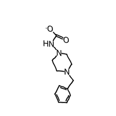 [O]C(=O)NN1CCN(Cc2ccccc2)CC1